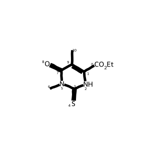 CCOC(=O)c1[nH]c(=S)n(C)c(=O)c1C